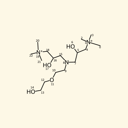 C[N+](C)(C)CC(O)CN(CCOCCO)CC(O)C[N+](C)(C)C